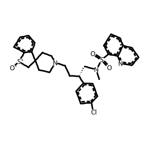 CN(C[C@@H](CCN1CCC2(CC1)C[S+]([O-])c1ccccc12)c1ccc(Cl)cc1)S(=O)(=O)c1cccc2cccnc12